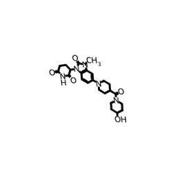 Cn1c(=O)n(C2CCC(=O)NC2=O)c2ccc(N3CCC(C(=O)N4CCC(O)CC4)CC3)cc21